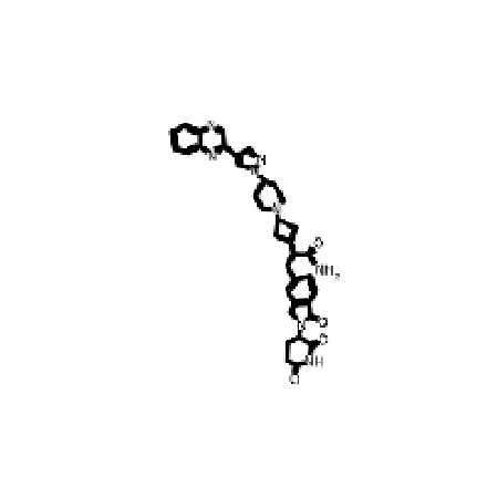 NC(=O)C(Cc1ccc2c(c1)CN(C1CCC(=O)NC1=O)C2=O)C1CC(N2CCC(n3cc(-c4cnc5ccccc5n4)cn3)CC2)C1